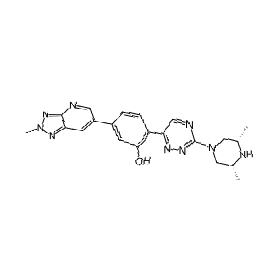 C[C@@H]1CN(c2ncc(-c3ccc(-c4cnc5nn(C)nc5c4)cc3O)nn2)C[C@H](C)N1